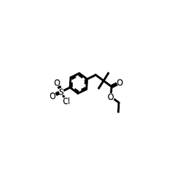 CCOC(=O)C(C)(C)Cc1ccc(S(=O)(=O)Cl)cc1